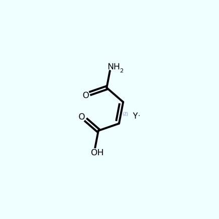 NC(=O)/C=C\C(=O)O.[Y]